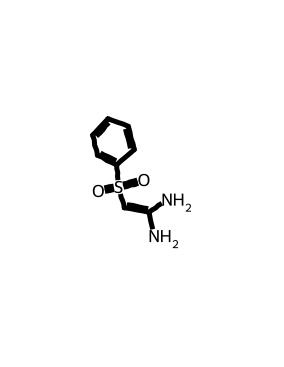 NC(N)=CS(=O)(=O)c1ccccc1